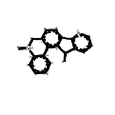 CC1c2cccnc2-c2ccc3c(c21)-c1ccccc1N(C)C3